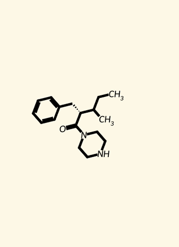 CCC(C)[C@@H](Cc1ccccc1)C(=O)N1CCNCC1